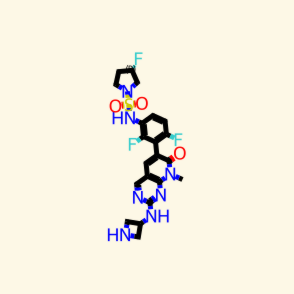 Cn1c(=O)c(-c2c(F)ccc(NS(=O)(=O)N3CC[C@@H](F)C3)c2F)cc2cnc(NC3CNC3)nc21